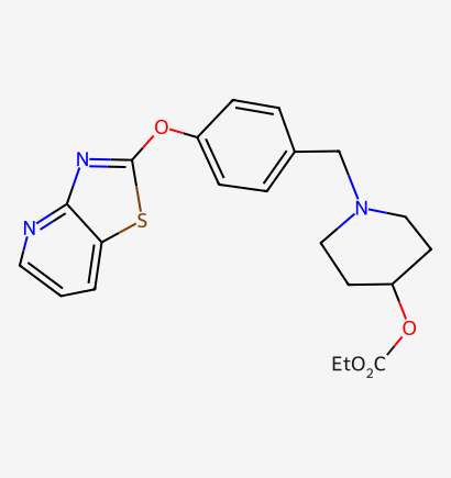 CCOC(=O)OC1CCN(Cc2ccc(Oc3nc4ncccc4s3)cc2)CC1